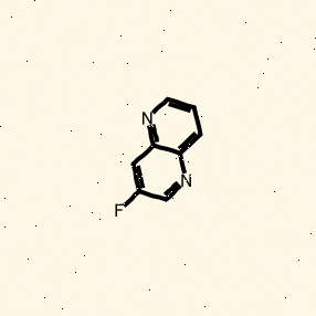 Fc1cnc2cccnc2c1